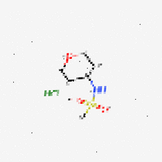 CS(=O)(=O)NC1CCOCC1.Cl